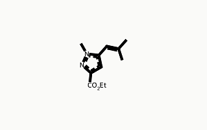 CCOC(=O)c1cc(C=C(C)C)n(C)n1